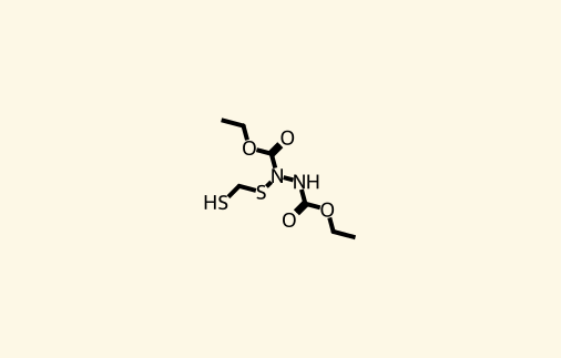 CCOC(=O)NN(SCS)C(=O)OCC